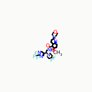 COc1ccc2nc(N3CCOCC3)ccc2c1C(=O)NCC(c1cnc(C(F)(F)F)nc1)N1CCC(F)(F)CC1